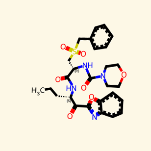 CCC[C@H](NC(=O)[C@H](CS(=O)(=O)Cc1ccccc1)NC(=O)N1CCOCC1)C(=O)c1nc2ccccc2o1